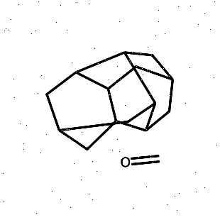 C1C2CC3C4CC5CC(C14)C(C2)C3C5.C=O